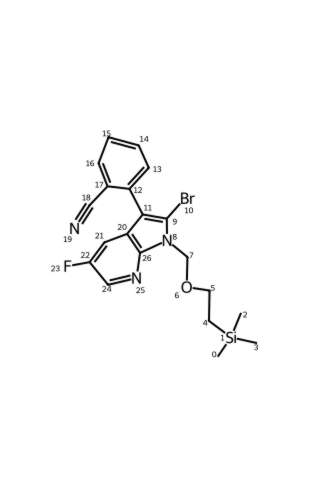 C[Si](C)(C)CCOCn1c(Br)c(-c2ccccc2C#N)c2cc(F)cnc21